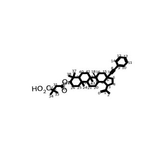 C=C(C)C1CCC2(C#Cc3ccccc3)CC[C@]3(C)C(CCC4C5(C)CC[C@H](OC(=O)CC(C)(C)C(=O)O)C(C)(C)C5CCC43C)C12